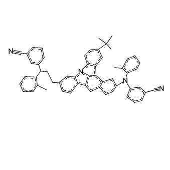 Cc1ccccc1C(CCc1ccc2c3cc4ccc(N(c5cccc(C#N)c5)c5ccccc5C)cc4c4c5cc(C(C)(C)C)ccc5n(c2c1)c34)c1cccc(C#N)c1